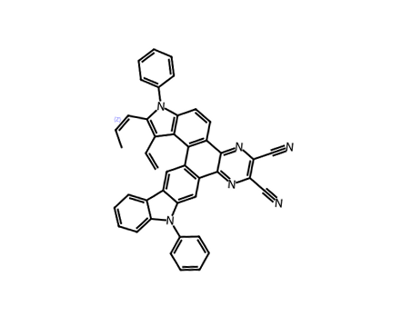 C=Cc1c(/C=C\C)n(-c2ccccc2)c2ccc3c4nc(C#N)c(C#N)nc4c4cc5c(cc4c3c12)c1ccccc1n5-c1ccccc1